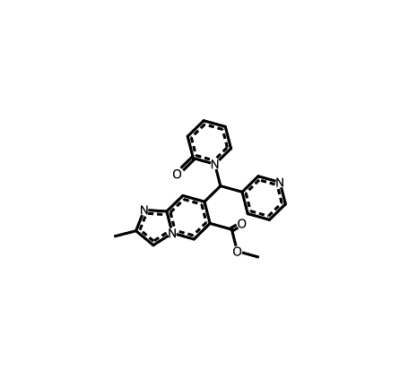 COC(=O)c1cn2cc(C)nc2cc1C(c1cccnc1)n1ccccc1=O